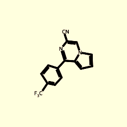 N#Cc1cn2cccc2c(-c2ccc(C(F)(F)F)cc2)n1